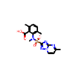 Cc1ccn2nc(S(=O)(=O)N(C)c3c(C)ccc(C)c3C(=O)O)nc2n1